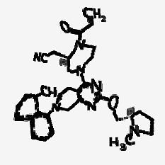 C=CC(=O)N1CCN(c2nc(OC[C@@H]3CCCN3C)nc3c2CCN(c2cccc4cccc(C)c24)C3)C[C@H]1CC#N